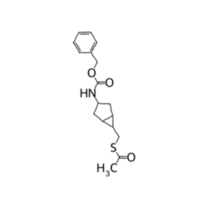 CC(=O)SCC1C2CC(NC(=O)OCc3ccccc3)CC12